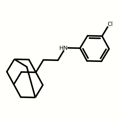 Clc1cccc(NCCC23CC4CC(CC(C4)C2)C3)c1